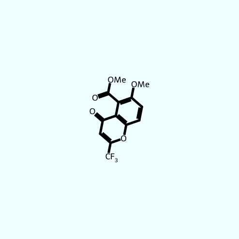 COC(=O)c1c(OC)ccc2oc(C(F)(F)F)cc(=O)c12